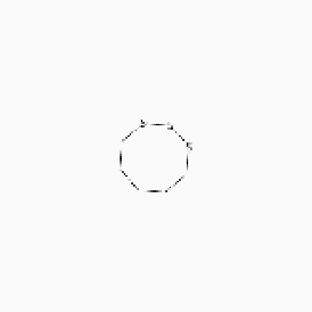 C1CCSSSCC1